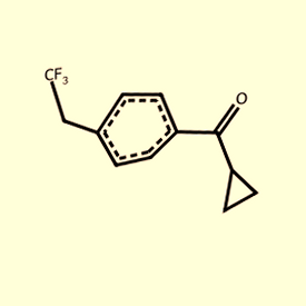 O=C(c1ccc(CC(F)(F)F)cc1)C1CC1